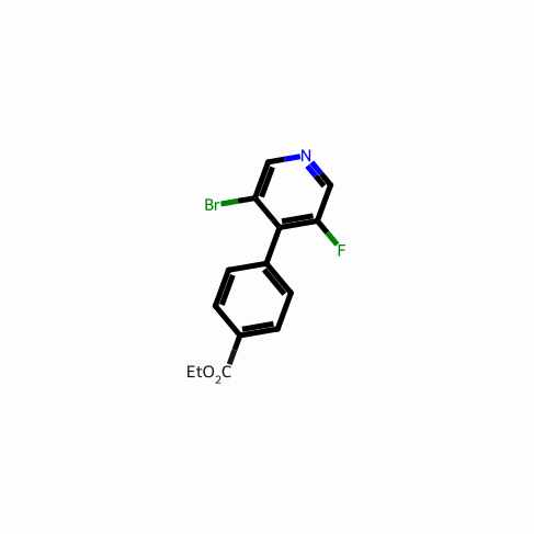 CCOC(=O)c1ccc(-c2c(F)cncc2Br)cc1